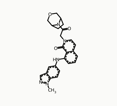 Cn1ncc2cc(Nc3cccc4ccn(CC(=O)N5C6CCC5COC6)c(=O)c34)ccc21